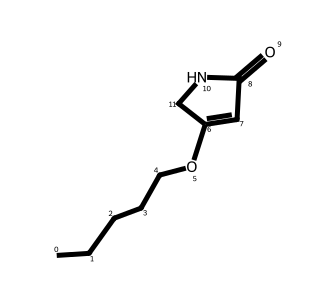 CCCCCOC1=CC(=O)NC1